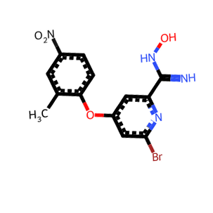 Cc1cc([N+](=O)[O-])ccc1Oc1cc(Br)nc(C(=N)NO)c1